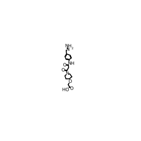 NN=Cc1ccc(NC(=O)CC(=O)N2CCC(OCC(=O)O)CC2)cc1